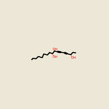 CCCCCCCC[C@@H](O)[C@H](O)C#CC#C[C@@H](O)CC